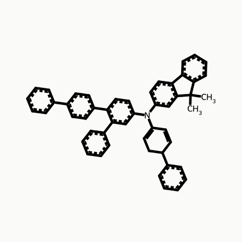 CC1(C)c2ccccc2-c2ccc(N(C3=CCC(c4ccccc4)C=C3)c3ccc(-c4ccc(-c5ccccc5)cc4)c(-c4ccccc4)c3)cc21